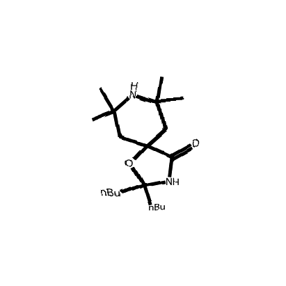 CCCCC1(CCCC)NC(=O)C2(CC(C)(C)NC(C)(C)C2)O1